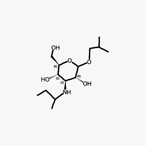 CCC(C)N[C@H]1[C@H](O)[C@@H](CO)OC(OCC(C)C)[C@@H]1O